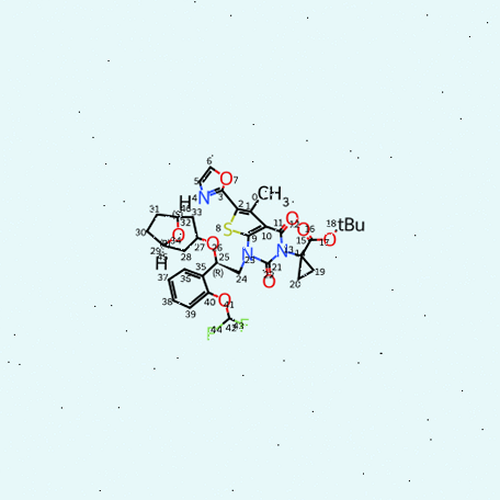 Cc1c(-c2ncco2)sc2c1c(=O)n(C1(C(=O)OC(C)(C)C)CC1)c(=O)n2C[C@H](OC1C[C@H]2CC[C@@H](C1)O2)c1ccccc1OC(F)F